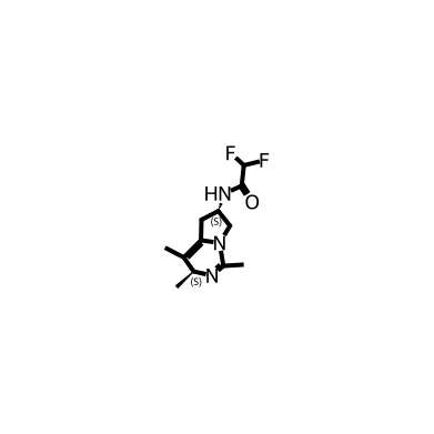 CC1=N[C@@H](C)C(C)=C2C[C@H](NC(=O)C(F)F)CN12